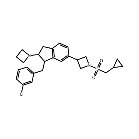 O=S(=O)(CC1CC1)N1CC(c2ccc3c(c2)C(Cc2cccc(Cl)c2)C(N2CCC2)C3)C1